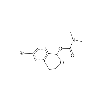 CN(C)C(=O)OC1OCCc2cc(Br)ccc21